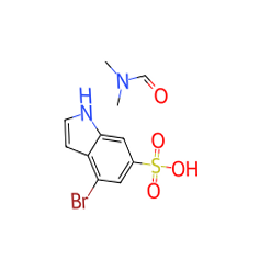 CN(C)C=O.O=S(=O)(O)c1cc(Br)c2cc[nH]c2c1